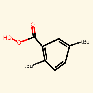 CC(C)(C)c1ccc(C(C)(C)C)c(C(=O)OO)c1